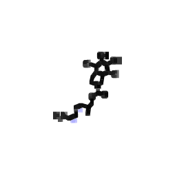 C=C(/C=C\C=C/N)COC(=O)N1CCc2c(Cl)c(O)c(O)c(Cl)c2C1